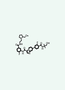 COCC1CCCN1CCNC(=O)c1ccc(F)c(NC(=O)c2cnc3cc(-c4ccc(C(=O)NC(C)(C)CO)c(F)c4)ccn23)c1